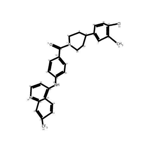 Cc1cc(C2CCN(C(=O)c3ccc(Nc4ccnc5cc(C(F)(F)F)ccc45)cc3)CC2)ccc1Cl